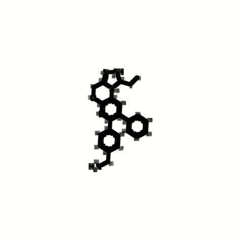 CCC1NN=C2COc3nc(-c4ccc(CN)cc4)c(-c4ccccc4)cc3N21